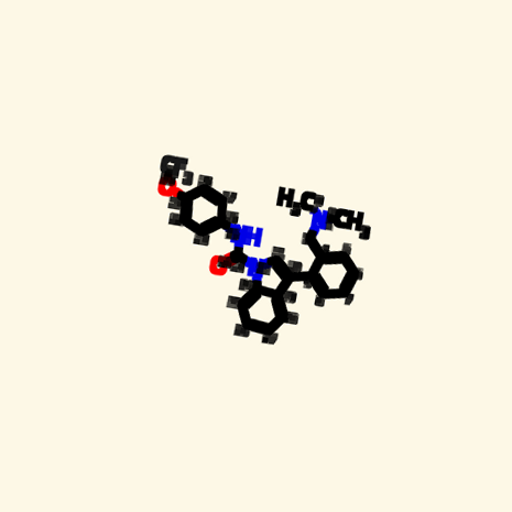 CN(C)Cc1ccccc1-c1cn(C(=O)Nc2ccc(OC(F)(F)F)cc2)c2ccccc12